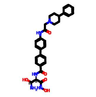 N[C@@H](O)[C@H](NC(=O)c1ccc(-c2ccc(NC(=O)CN3CCC(c4ccccc4)CC3)cc2)cc1)C(=O)NO